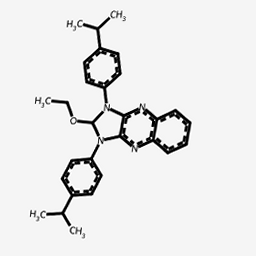 CCOC1N(c2ccc(C(C)C)cc2)c2nc3ccccc3nc2N1c1ccc(C(C)C)cc1